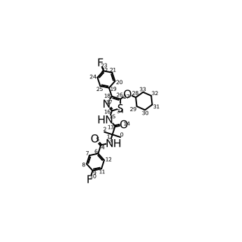 CC(C)(NC(=O)c1ccc(F)cc1)C(=O)Nc1nc(-c2ccc(F)cc2)c(OC2CCCCC2)s1